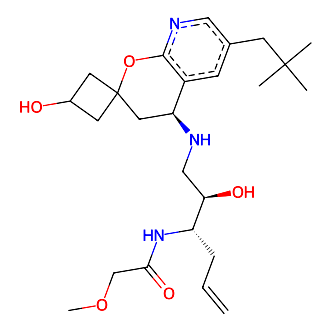 C=CC[C@H](NC(=O)COC)[C@H](O)CN[C@H]1CC2(CC(O)C2)Oc2ncc(CC(C)(C)C)cc21